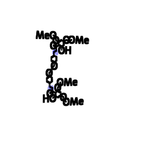 COCOc1cc(O)c(C(=O)/C=C/c2ccc(OCCOc3ccc(/C=C/C(=O)c4c(O)cc(OCOC)cc4OCOC)cc3)cc2)c(OCOC)c1